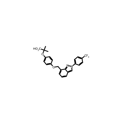 CC(C)(Oc1ccc(OCc2cccc3cn(-c4ccc(C(F)(F)F)cc4)nc23)cc1)C(=O)O